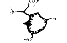 NC(C(=O)O)c1cc(O)cc(O)c1